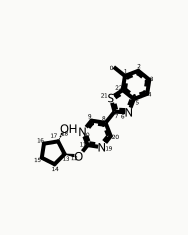 Cc1cccc2nc(-c3cnc(O[C@H]4CCC[C@@H]4O)nc3)sc12